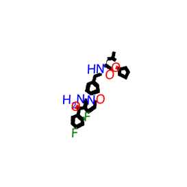 CC(C)C[C@@H](NCCc1ccc(-n2c(N)c(C(=O)c3ccc(F)cc3F)ccc2=O)cc1)C(=O)OC1CCCC1